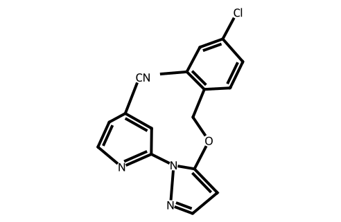 Cc1cc(Cl)ccc1COc1ccnn1-c1cc(C#N)ccn1